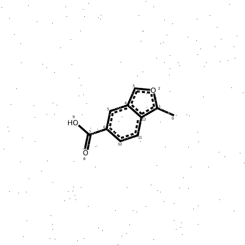 [CH2]c1occ2cc(C(=O)O)ccc12